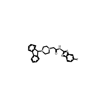 O=C(CN1CCN(C2c3ccccc3-c3ccccc32)CC1)Nc1nc2ccc(F)cc2s1